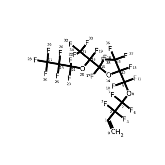 C=CC(F)(F)C(F)(F)OC(F)(F)C(F)(OC(F)(F)C(F)(OC(F)(F)C(F)(F)C(F)(F)F)C(F)(F)F)C(F)(F)F